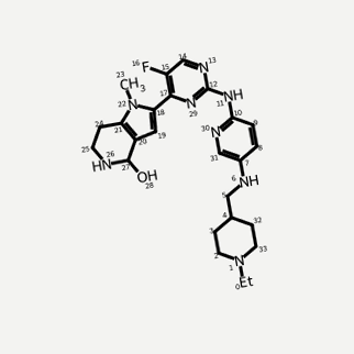 CCN1CCC(CNc2ccc(Nc3ncc(F)c(-c4cc5c(n4C)CCNC5O)n3)nc2)CC1